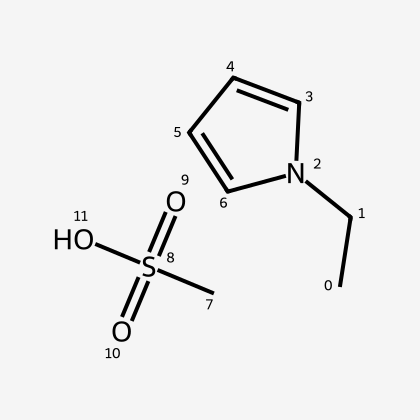 CCn1cccc1.CS(=O)(=O)O